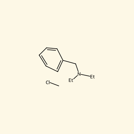 CCN(CC)Cc1ccccc1.CCl